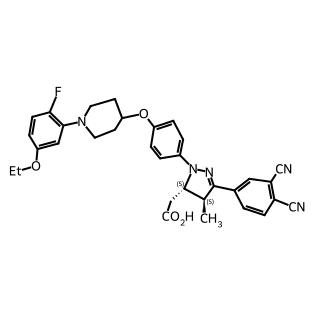 CCOc1ccc(F)c(N2CCC(Oc3ccc(N4N=C(c5ccc(C#N)c(C#N)c5)[C@@H](C)[C@@H]4CC(=O)O)cc3)CC2)c1